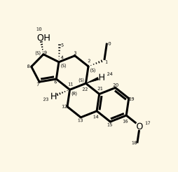 CC[C@H]1C[C@@]2(C)C(=CC[C@@H]2O)[C@@H]2CCc3cc(OC)ccc3[C@@H]12